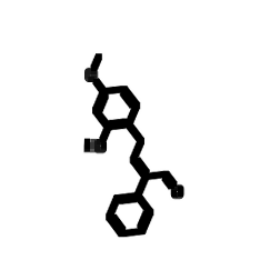 COc1ccc(CC=C(C=O)c2ccccc2)c(O)c1